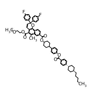 CCCCC[C@H]1CC[C@H](c2ccc(C(=O)Oc3ccc(C4CCC(OC(=O)c5ccc6c7c(c(C(=O)OCCOC)c(C)c6c5)C=CC(c5ccc(F)cc5)(c5ccc(F)cc5)O7)CC4)cc3)cc2)CC1